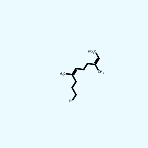 CC(=CC(=O)O)CCC=C(C)CCCC(C)C